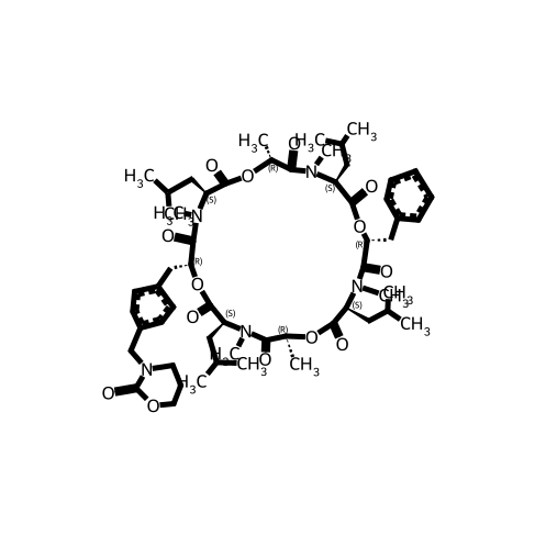 CC(C)C[C@H]1C(=O)O[C@H](Cc2ccc(CN3CCCOC3=O)cc2)C(=O)N(C)[C@@H](CC(C)C)C(=O)O[C@H](C)C(=O)N(C)[C@@H](CC(C)C)C(=O)O[C@H](Cc2ccccc2)C(=O)N(C)[C@@H](CC(C)C)C(=O)O[C@H](C)C(=O)N1C